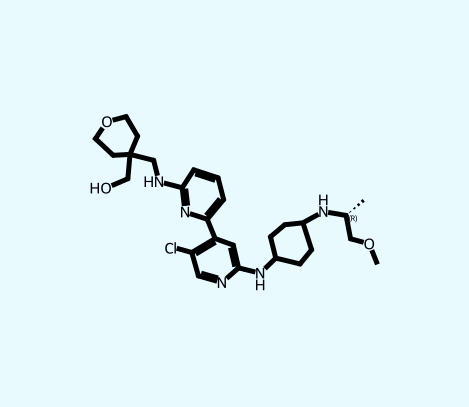 COC[C@@H](C)NC1CCC(Nc2cc(-c3cccc(NCC4(CO)CCOCC4)n3)c(Cl)cn2)CC1